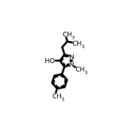 Cc1ccc(-c2c(O)c(CC(C)C)nn2C)cc1